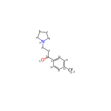 O=C(CCN1CCCC1)c1ccc(C(F)(F)F)cc1